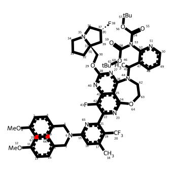 COc1ccc(CN(Cc2ccc(OC)cc2)c2cc(C)c(C(F)(F)F)c(-c3nc4c5c(nc(OC[C@@]67CCCN6C[C@H](F)C7)nc5c3F)N(C(C)c3cccnc3N(C(=O)OC(C)(C)C)C(=O)OC(C)(C)C)CCO4)n2)cc1